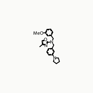 COc1cccc(CN(Cc2cccc(N3CCCC3)c2)c2nc(C)co2)c1